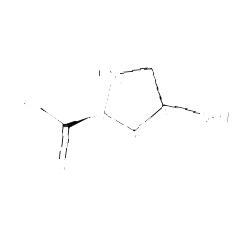 O=C(O)[C@@H]1CC([SeH])CN1